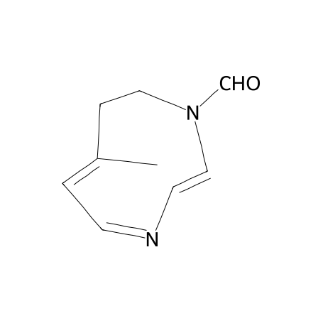 C\C1=C/C=N\C=C\N(C=O)CC1